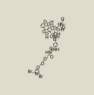 COCCN1[C@@H](C)O[C@@H]2[C@H](C)O[C@@H](O[C@H]3C[C@](O)(C(=O)NOCc4ccc(NC(=O)CNC(=O)CCOCCOCCOc5cc(CBr)nc(CBr)c5)cc4)Cc4c(O)c5c(c(O)c43)C(=O)c3c(OC)cccc3C5=O)C[C@@H]21